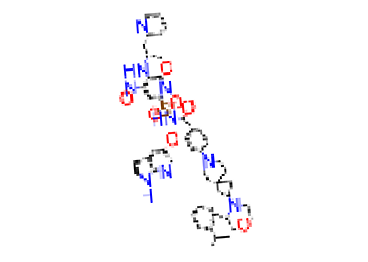 CC(C)c1ccccc1[C@@H]1COCCN1C1CC2(CCN(c3ccc(C(=O)NS(=O)(=O)c4cc(N=O)c5c(n4)OCC(Cc4ccccn4)N5)c(Oc4cnc5[nH]ccc5c4)c3)CC2)C1